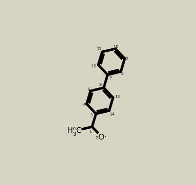 CC([O])c1ccc(-c2ccccc2)cc1